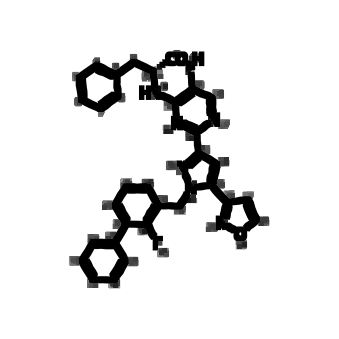 O=C(O)[C@@H](Cc1ccccc1)Nc1nc(-c2cc(-c3ccon3)n(Cc3cccc(-c4ccccc4)c3F)n2)ncc1F